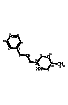 C[C@H]1CN[C@@H](COCc2ccccc2)CO1